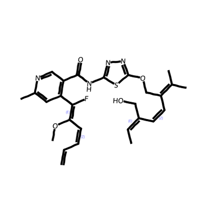 C=C/C=C\C(OC)=C(/F)c1cc(C)ncc1C(=O)Nc1nnc(OCC(/C=C\C(=C/C)CO)=C(C)C)s1